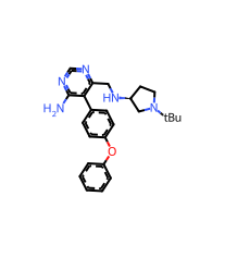 CC(C)(C)N1CC[C@H](NCc2ncnc(N)c2-c2ccc(Oc3ccccc3)cc2)C1